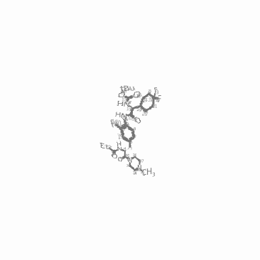 CCC(=O)N[C@H](Cc1ccc(NC(=O)[C@@H](NC(=O)OC(C)(C)C)C2CCC(F)(F)CC2)c(F)c1)C(=O)N1CCN(C)CC1